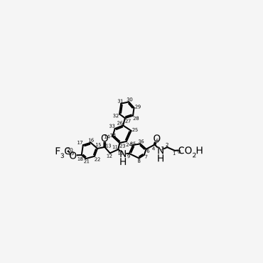 O=C(O)CCNC(=O)c1ccc(NC(CC(=O)c2ccc(OC(F)(F)F)cc2)c2ccc(-c3ccccc3)cc2)cc1